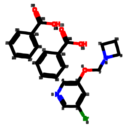 Brc1cncc(OCN2CCC2)c1.O=C(O)c1ccccc1.O=C(O)c1ccccc1